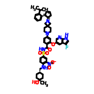 CC(C)c1ccccc1[C@@H]1CCC[C@@H]1N1CC2(CCN(c3ccc(C(=O)NS(=O)(=O)c4ccc(NC[C@H]5CC[C@](C)(O)CC5)c([N+](=O)[O-])c4)c(Oc4cnc5[nH]cc(F)c5c4)c3)CC2)C1